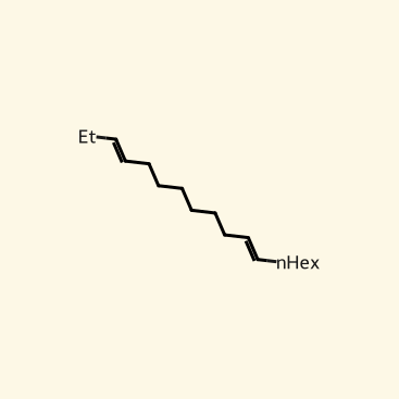 [CH2]CC=CCCCCCCC=CCCCCCC